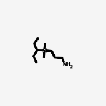 CCC(CC)[Si](C)(C)CCCN